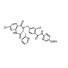 COc1cnc(NC(=O)c2ccc(CN3C(=O)c4ccc(Cl)cc4NC(=O)[C@H]3Cc3ccccn3)cc2Cl)nc1